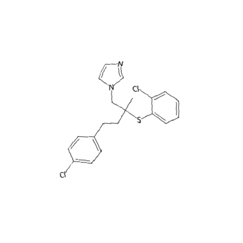 CC(CCc1ccc(Cl)cc1)(Cn1ccnc1)Sc1ccccc1Cl